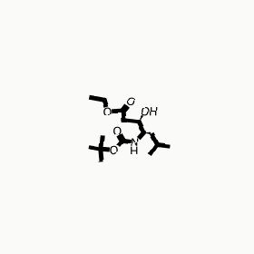 CCOC(=O)C[C@H](O)[C@H](CC(C)C)NC(=O)OC(C)(C)C